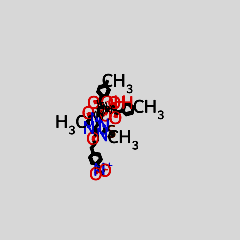 CSc1nc(OCCc2ccc([N+](=O)[O-])cc2)c2nc(C)c(=O)n([C@H]3C[C@@](O)(C(=O)c4ccc(C)cc4)[C@@H](C(O)C(=O)c4ccc(C)cc4)O3)c2n1